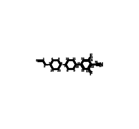 C=CC[C@H]1CC[C@H](C2CCC(c3cc(F)c(C#N)c(F)c3)CC2)CC1